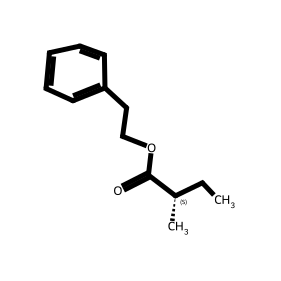 CC[C@H](C)C(=O)OCCc1ccccc1